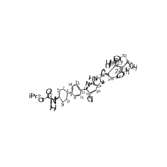 CC(C)OC(=O)N[C@H]1CC[C@@H](c2ccc(-c3nc4[nH]c(O[C@@H]5CO[C@H]6[C@@H]5OC[C@H]6O)nc4cc3Cl)cc2)CC1